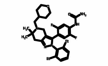 CCc1cccc(CC)c1-n1nc2c(c1-c1cc(F)c(NC(N)=O)cc1F)CN(CC1CCOCC1)C(C)(C)C2